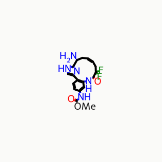 COC(=O)Nc1ccc2c(c1)NC(=O)C(F)(F)C/C=C\C[C@H](N)c1nc-2c[nH]1